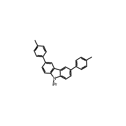 Cc1ccc(-c2ccc3c(c2)c2cc(-c4ccc(C)cc4)ccc2n3C(C)C)cc1